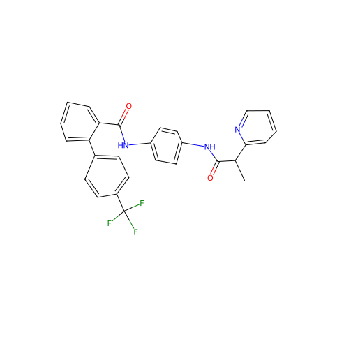 CC(C(=O)Nc1ccc(NC(=O)c2ccccc2-c2ccc(C(F)(F)F)cc2)cc1)c1ccccn1